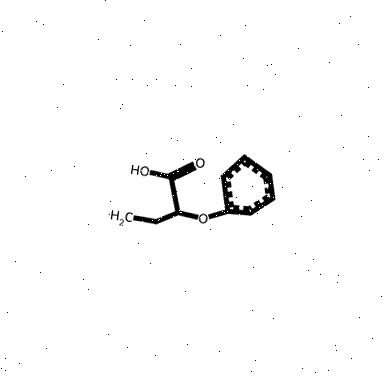 [CH2]CC(Oc1ccccc1)C(=O)O